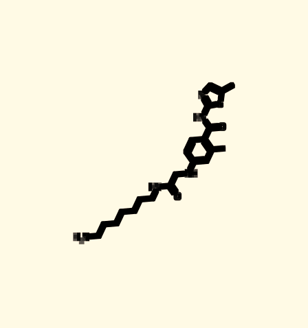 Cc1cnc(NC(=O)c2ccc(NCC(=O)NCCCCCCCN)cc2C)s1